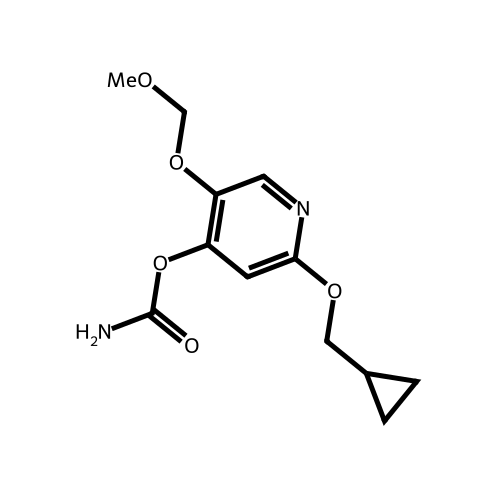 COCOc1cnc(OCC2CC2)cc1OC(N)=O